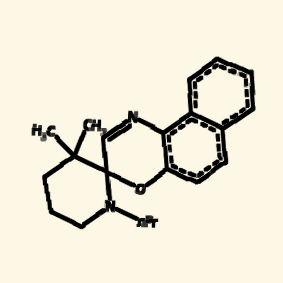 CCCN1CCCC(C)(C)C12C=Nc1c(ccc3ccccc13)O2